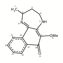 COC1=C2NCCC(C)N=C2c2ncccc2C1=O